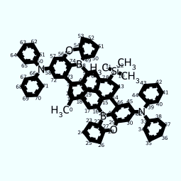 Cc1cc2c3c(cc4c([Si](C)(C)C)cc5c6c(cc1c3c46)B1c3ccccc3Oc3cc(N(c4ccccc4)c4ccccc4)cc-5c31)B1c3ccccc3Oc3cc(N(c4ccccc4)c4ccccc4)cc-2c31